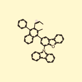 C/C=C\c1c(C)c(-c2cc(-n3c4ccccc4c4ccccc43)c3oc4ccccc4c3c2)c2ccccc2c1-c1ccccc1